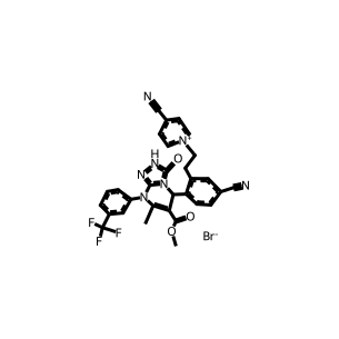 COC(=O)C1=C(C)N(c2cccc(C(F)(F)F)c2)c2n[nH]c(=O)n2C1c1ccc(C#N)cc1CC[n+]1ccc(C#N)cc1.[Br-]